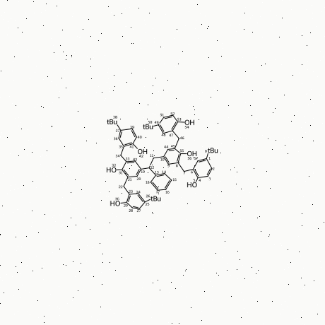 CC(C)(C)c1ccc(O)c(Cc2cc(CC(c3ccccc3)c3cc(Cc4cc(C(C)(C)C)ccc4O)c(O)c(Cc4cc(C(C)(C)C)ccc4O)c3)cc(Cc3cc(C(C)(C)C)ccc3O)c2O)c1